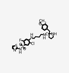 COc1ccc(CC2(CNCCCCNc3cc(F)c(S(=O)(=O)Nc4nccs4)cc3Cl)CCCN2)cc1